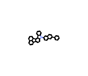 c1ccc(-c2ccc3cc(-n4c5ccccc5c5c6c(ccc54)-c4cccc5cccc-6c45)ccc3c2)cc1